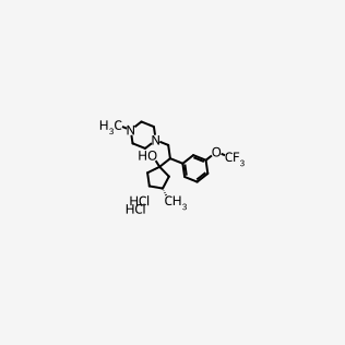 C[C@@H]1CCC(O)(C(CN2CCN(C)CC2)c2cccc(OC(F)(F)F)c2)C1.Cl.Cl